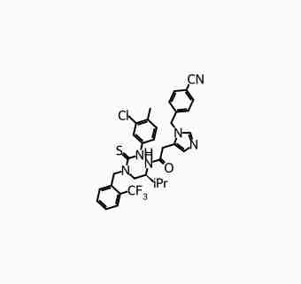 Cc1ccc(NC(=S)N(Cc2ccccc2C(F)(F)F)C[C@@H](NC(=O)Cc2cncn2Cc2ccc(C#N)cc2)C(C)C)cc1Cl